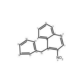 O=[N+]([O-])c1cnc2ccccc2c1Cc1ccccc1